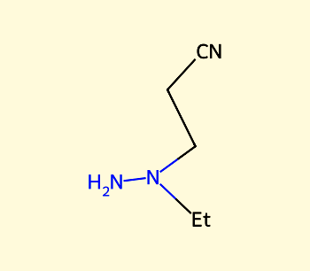 CCN(N)CCC#N